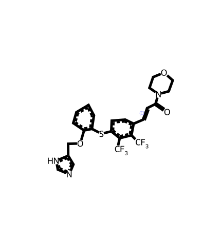 O=C(/C=C/c1ccc(Sc2ccccc2OCc2cnc[nH]2)c(C(F)(F)F)c1C(F)(F)F)N1CCOCC1